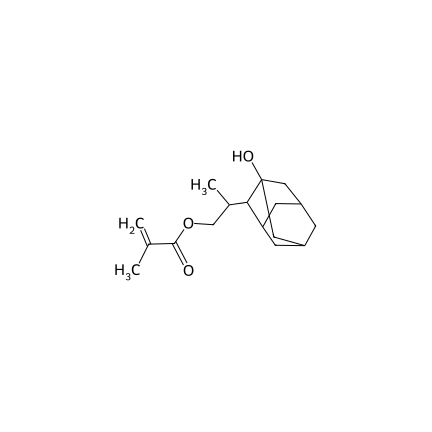 C=C(C)C(=O)OCC(C)C1C2CC3CC(C2)CC1(O)C3